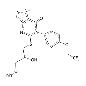 CCCOCC(O)CSc1nc2cc[nH]c2c(=O)n1-c1ccc(OCC(F)(F)F)cc1